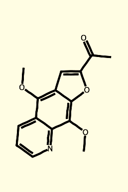 COc1c2cccnc2c(OC)c2oc(C(C)=O)cc12